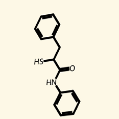 O=C(Nc1ccccc1)C(S)Cc1ccccc1